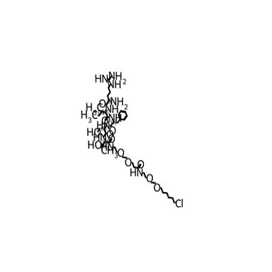 CC[C@H](C)[C@H](NC(=O)[C@@H](N)CCCNC(=N)N)C(=O)N[C@@H](Cc1ccccc1)C(=O)N[C@@H](CO)C(=O)N[C@H](C(=O)NCCOCCOCCC(=O)NCCOCCOCCCCCCCl)[C@@H](C)O